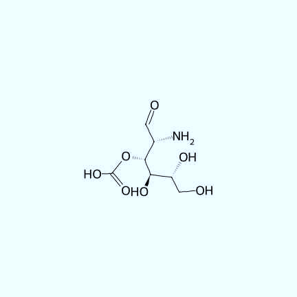 N[C@@H](C=O)[C@@H](OC(=O)O)[C@H](O)[C@H](O)CO